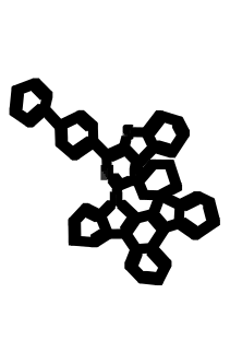 c1ccc(-c2ccc(-c3nc(-n4c5ccccc5c5c6ccccc6c6c(c54)C4(CCCCC4)c4ccccc4-6)nc4c3sc3ccccc34)cc2)cc1